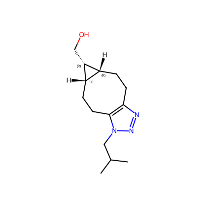 CC(C)Cn1nnc2c1CC[C@@H]1[C@H](CO)[C@@H]1CC2